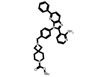 CC(C)(C)OC(=O)N1CCC2(CC1)CN(Cc1ccc(-n3c(-c4cccnc4N)nc4ccc(-c5ccccc5)nc43)cc1)C2